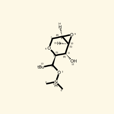 C[SiH](C)OC([C@H]1OC[C@H]2O[C@H]2[C@@H]1O)C(C)(C)C